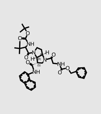 CC(C)(C)OC(=O)NC(C(=O)N1CC[C@@H]2[C@H]1[C@@H](C(=O)Nc1cccc3ccccc13)CN2C(=O)CNC(=O)OCc1ccccc1)C(C)(C)C